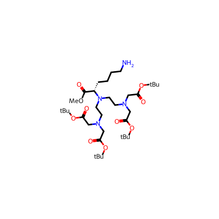 COC(=O)[C@H](CCCCN)N(CCN(CC(=O)OC(C)(C)C)CC(=O)OC(C)(C)C)CCN(CC(=O)OC(C)(C)C)CC(=O)OC(C)(C)C